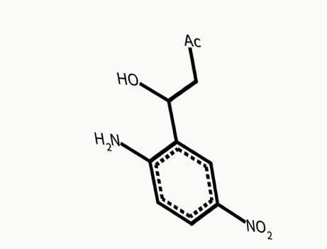 CC(=O)CC(O)c1cc([N+](=O)[O-])ccc1N